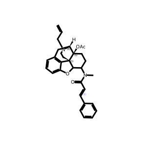 C=CCN1CC[C@]23c4c5cccc4OC2C(N(C)C(=O)/C=C/c2ccccc2)CC[C@@]3(OC(C)=O)[C@H]1C5